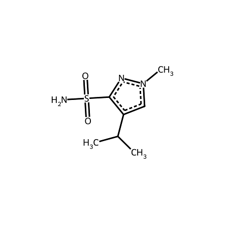 CC(C)c1cn(C)nc1S(N)(=O)=O